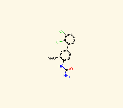 COc1cc(-c2cccc(Cl)c2Cl)ccc1NC(N)=O